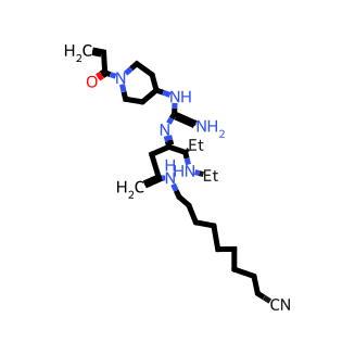 C=CC(=O)N1CCC(NC(=C/N)/N=C(/CC(=C)NCCCCCCCCCC#N)[C@@H](CC)NCC)CC1